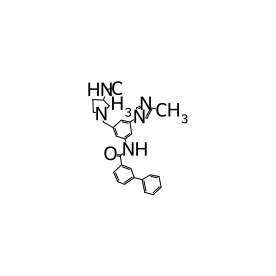 CNC1CCN(Cc2cc(NC(=O)c3cccc(-c4ccccc4)c3)cc(-n3cnc(C)c3)c2)C1